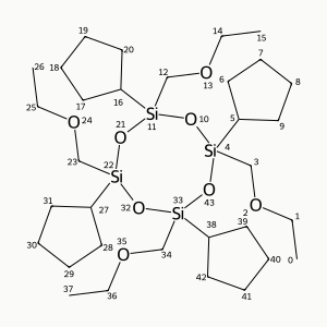 CCOC[Si]1(C2CCCC2)O[Si](COCC)(C2CCCC2)O[Si](COCC)(C2CCCC2)O[Si](COCC)(C2CCCC2)O1